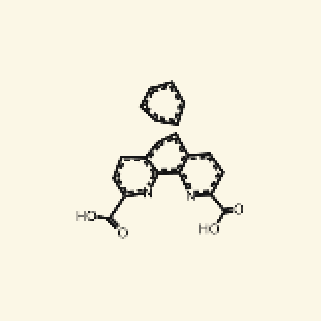 O=C(O)c1ccc2ccc3ccc(C(=O)O)nc3c2n1.c1ccccc1